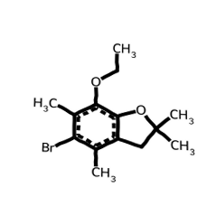 CCOc1c(C)c(Br)c(C)c2c1OC(C)(C)C2